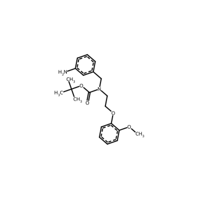 COc1ccccc1OCCN(Cc1cccc(N)c1)C(=O)OC(C)(C)C